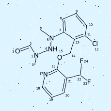 CN(C=O)NN(C)c1cccc(Cl)c1COc1ncccc1C(F)F